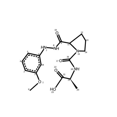 COc1cccc(NNC(=O)C2CCCN2C(=O)N[C@@H](C)C(=O)O)c1